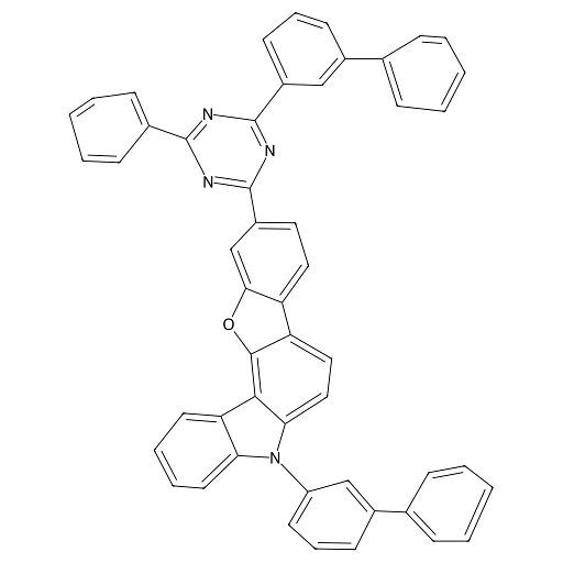 c1ccc(-c2cccc(-c3nc(-c4ccccc4)nc(-c4ccc5c(c4)oc4c5ccc5c4c4ccccc4n5-c4cccc(-c5ccccc5)c4)n3)c2)cc1